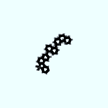 C[Si]1(C)c2ccccc2-c2c1ccc1cc(-c3cccc4c(-c5ccc6ccc7cccnc7c6n5)cccc34)ccc21